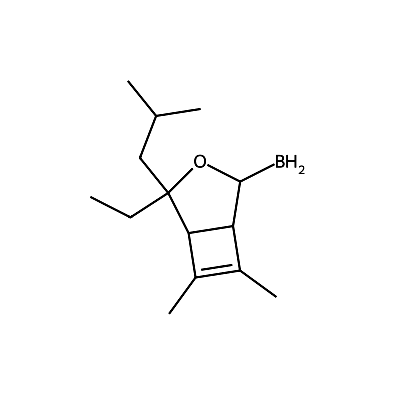 BC1OC(CC)(CC(C)C)C2C(C)=C(C)C12